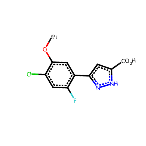 CC(C)Oc1cc(-c2cc(C(=O)O)[nH]n2)c(F)cc1Cl